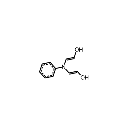 OC=CN(C=CO)c1ccccc1